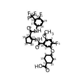 COc1cc(F)c(OC2CCC(C(=O)O)CC2)cc1C(=O)NC1=C(C(=O)Nc2ccc(F)c(C(F)(F)F)c2)CCC1